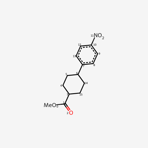 COC(=O)C1CCC(c2ccc([N+](=O)[O-])cc2)CC1